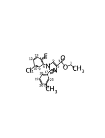 CCOC(=O)c1cn(-c2cc(Cl)ccc2F)c(-c2cccc(C)c2)n1